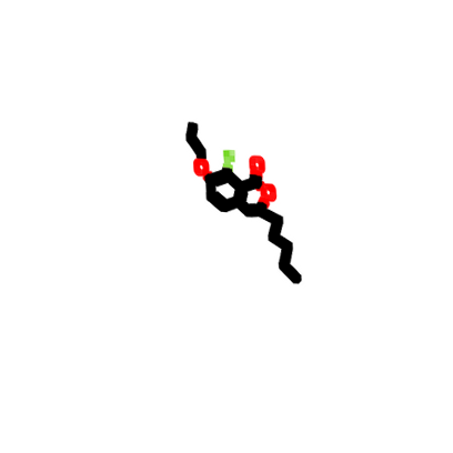 CCCCCc1cc2ccc(OCCC)c(F)c2c(=O)o1